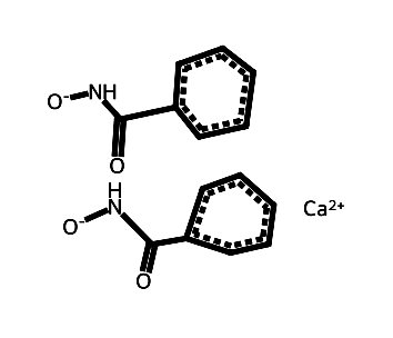 O=C(N[O-])c1ccccc1.O=C(N[O-])c1ccccc1.[Ca+2]